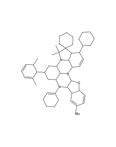 CC1=CC=CC(C)C1C1CC2C3B(C4C=CC(C5CCCCC5)C5C4N(C3C1)C(C)(C)C51CCCCC1)C1OC3C=CC(C(C)(C)C)=CC3C1N2C1=CCCCC1